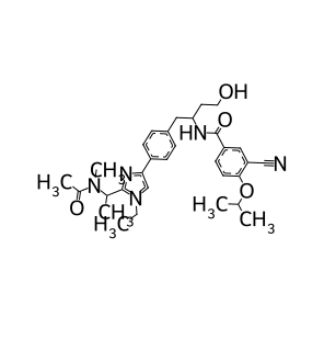 CCn1cc(-c2ccc(CC(CCO)NC(=O)c3ccc(OC(C)C)c(C#N)c3)cc2)nc1C(C)N(C)C(C)=O